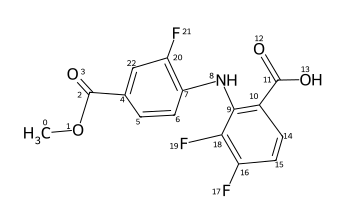 COC(=O)c1ccc(Nc2c(C(=O)O)ccc(F)c2F)c(F)c1